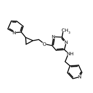 Cc1nc(NCc2ccncc2)cc(OCC2CC2c2ccccn2)n1